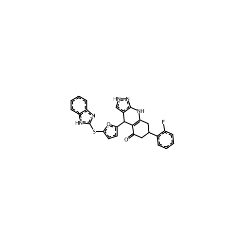 O=C1CC(c2ccccc2F)CC2=C1C(c1ccc(Sc3nc4ccccc4[nH]3)o1)c1c[nH]nc1N2